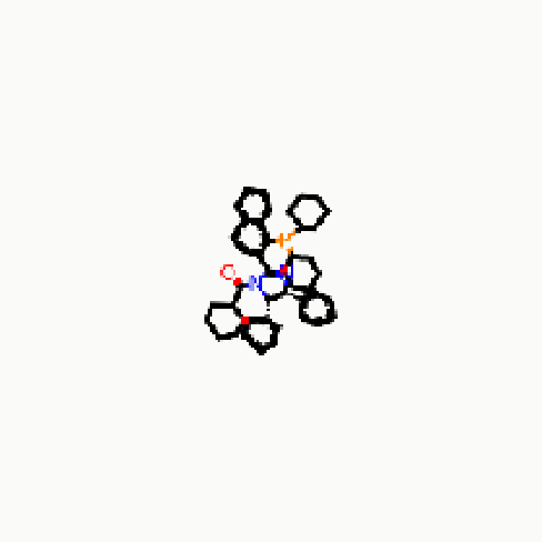 O=C(C1CCCCC1)N1C(c2ccc3ccccc3c2P(C2CCCCC2)C2CCCCC2)=N[C@@H](c2ccccc2)[C@@H]1c1ccccc1